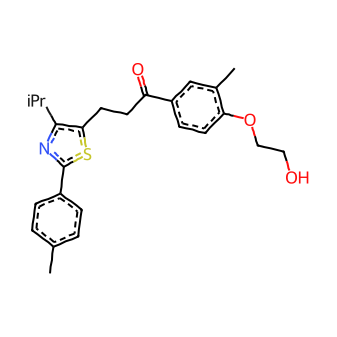 Cc1ccc(-c2nc(C(C)C)c(CCC(=O)c3ccc(OCCO)c(C)c3)s2)cc1